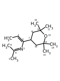 C/C=C(\N=C(C)C)C1CC(C)(C)OC(C)(C)C1